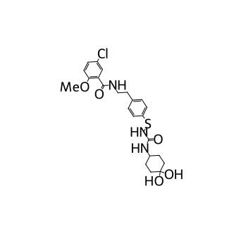 COc1ccc(Cl)cc1C(=O)NCCc1ccc(SNC(=O)NC2CCC(O)(O)CC2)cc1